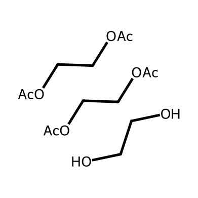 CC(=O)OCCOC(C)=O.CC(=O)OCCOC(C)=O.OCCO